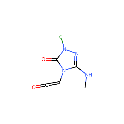 CNc1nn(Cl)c(=O)n1C=C=O